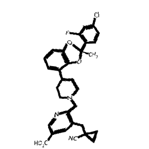 C[C@]1(c2ccc(Cl)cc2F)Oc2cccc(C3CCN(Cc4ncc(C(=O)O)cc4CC4(C#N)CC4)CC3)c2O1